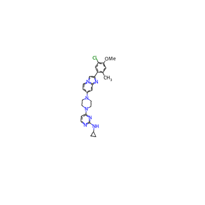 COc1cc(C)c(-c2cn3ccc(N4CCN(c5ccnc(NC6CC6)n5)CC4)cc3n2)cc1Cl